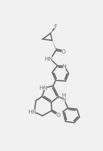 O=C1CNCc2[nH]c(-c3ccnc(NC(=O)[C@@H]4C[C@H]4F)c3)c(Nc3ccccc3)c21